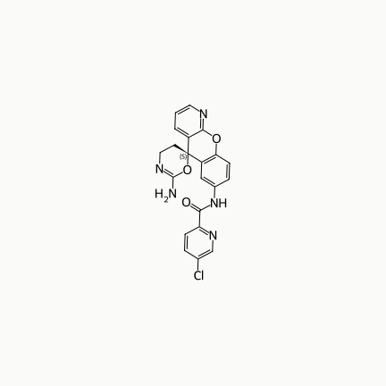 NC1=NCC[C@]2(O1)c1cc(NC(=O)c3ccc(Cl)cn3)ccc1Oc1ncccc12